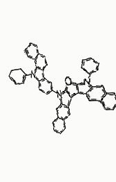 C1=CCCC(n2c3ccc(-n4c5cc6ccccc6cc5c5c6c7cc8ccccc8cc7n(-c7ccccc7)c6oc54)cc3c3ccc4ccccc4c32)=C1